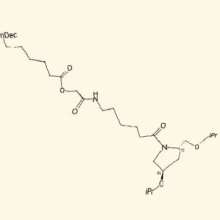 CCCCCCCCCCCCCCCC(=O)OCC(=O)NCCCCCC(=O)N1C[C@H](OC(C)C)C[C@H]1COC(C)C